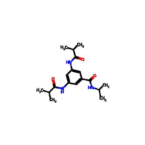 CC(C)NC(=O)c1cc(NC(=O)C(C)C)cc(NC(=O)C(C)C)c1